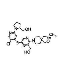 C[C@H]1CC2(CCN(c3ncc(Sc4cc(N5CCCC5CO)ncc4Cl)nc3CO)CC2)CO1